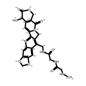 CNCC(=O)NCC(=O)NCc1c2c(nc3cc4c(cc13)OCO4)-c1cc3c(c(=O)n1C2)COC(=O)C3O